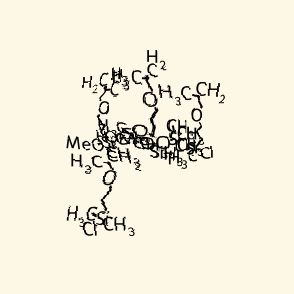 C=C(C)COCCCC(O[SiH3])(O[Si](C)(C)C)O[Si](C)(C)C.C=C(C)COCCC[Si](C)(C)Cl.C=C(C)COCCC[Si](C)(Cl)Cl.C=C(C)COCCC[Si](C)(OC)OC